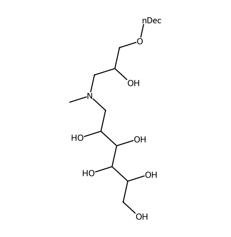 CCCCCCCCCCOCC(O)CN(C)CC(O)C(O)C(O)C(O)CO